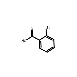 CC(C)(C)c1ccccc1C(O)=S